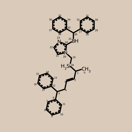 CC(C=CCC(c1ccccc1)c1ccccc1)[SiH2]Cn1ccnc1BC(c1ccccc1)c1ccccc1